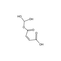 O=C(O)/C=C\C(=O)OC(O)O